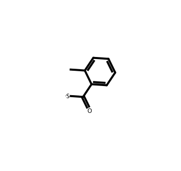 Cc1ccccc1C(=O)[S]